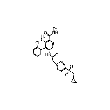 CCNC(=O)c1ccc(NC(=O)Cc2ccc(S(=O)(=O)CC3CC3)cc2)c(-c2ccccc2Cl)c1C